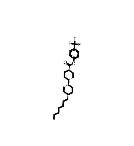 CCCCCCC[C@H]1CC[C@H]([C@H]2CC[C@H](C(=O)Oc3ccc(C(F)(F)F)cc3)CC2)CC1